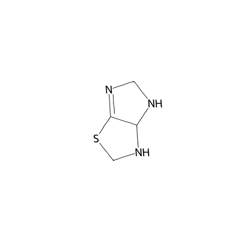 C1N=C2SCNC2N1